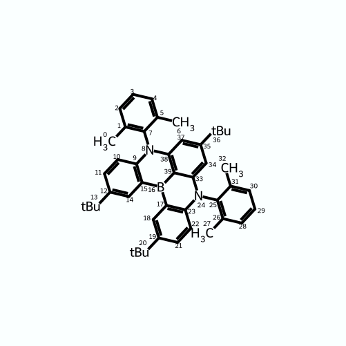 Cc1cccc(C)c1N1c2ccc(C(C)(C)C)cc2B2c3cc(C(C)(C)C)ccc3N(c3c(C)cccc3C)c3cc(C(C)(C)C)cc1c32